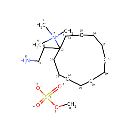 COS(=O)(=O)[O-].C[N+](C)(C)C1(CCN)CCCCCCCCCCC1